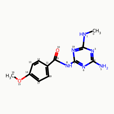 CNc1nc(N)nc(NC(=O)c2ccc(OC)cc2)n1